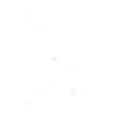 CCONC(=O)c1cc(Cl)ccc1Nc1ccc(I)cc1C